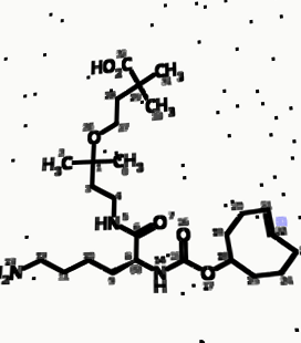 CC(C)(CCNC(=O)[C@H](CCCCN)NC(=O)OC1CC/C=C/CCC1)OCCC(C)(C)C(=O)O